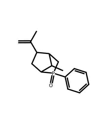 C=C(C)C1CC2C(C)C1CP2(=O)c1ccccc1